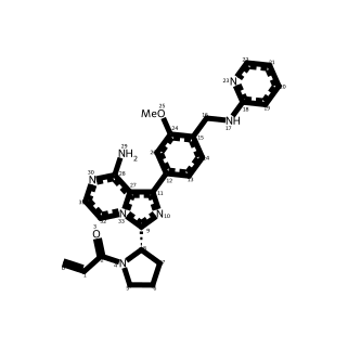 C=CC(=O)N1CCC[C@H]1c1nc(-c2ccc(CNc3ccccn3)c(OC)c2)c2c(N)nccn12